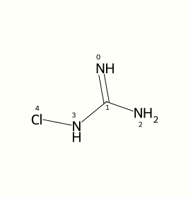 N=C(N)NCl